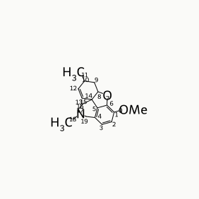 COc1ccc2c3c1OC1CC(C)C=CC31CCN(C)C2